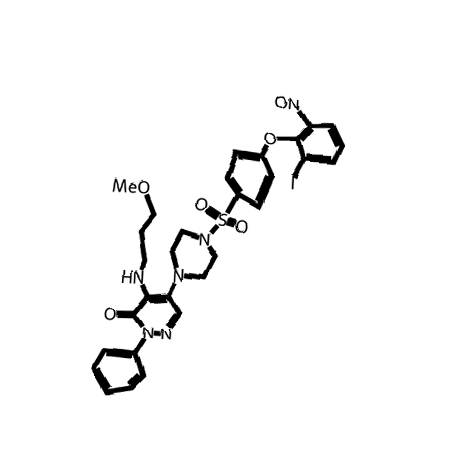 COCCCNc1c(N2CCN(S(=O)(=O)c3ccc(Oc4c(I)cccc4N=O)cc3)CC2)cnn(-c2ccccc2)c1=O